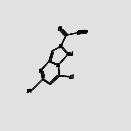 COC(=O)N1C=C2N=C(C(C)C)C=C(Cl)N2N1